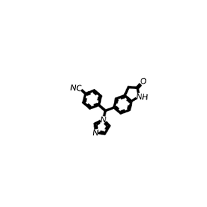 N#Cc1ccc(C(c2ccc3c(c2)CC(=O)N3)n2ccnc2)cc1